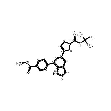 COC(=O)c1ccc(-c2nc(C3=CCN(C(=O)OC(C)(C)C)C3)cc3cn[nH]c23)cc1